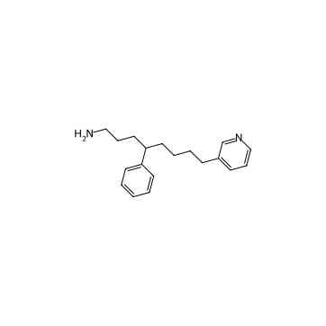 NCCCC(CCCCc1cccnc1)c1ccccc1